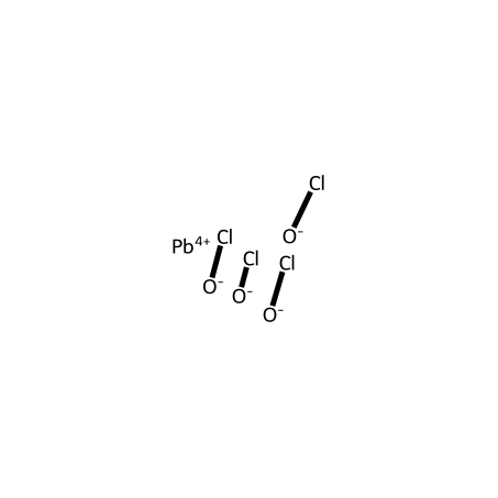 [O-]Cl.[O-]Cl.[O-]Cl.[O-]Cl.[Pb+4]